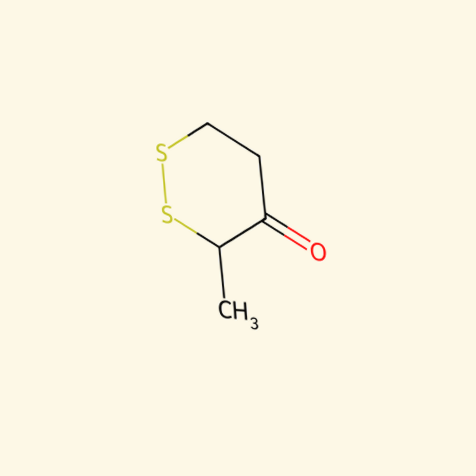 CC1SSCCC1=O